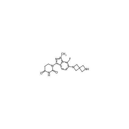 Cn1nc(N2CCC(=O)NC2=O)c2ccc(N3CC4(CNC4)C3)c(F)c21